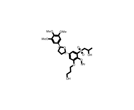 CCCOc1c(OCCCO)cc([C@@H]2CC[C@@H](c3cc(OC)c(OC)c(OC)c3)O2)cc1S(=O)(=O)CC(C)O